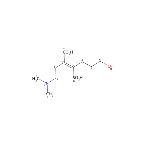 CN(C)CCC(C(=O)O)=C(CCCO)S(=O)(=O)O